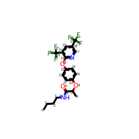 CCCCNC(=O)C(C)Oc1ccc(Oc2ncc(C(F)(F)F)cc2C(F)(F)F)cc1